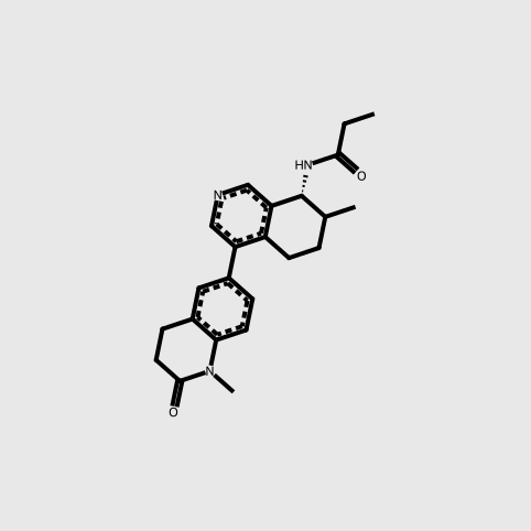 CCC(=O)N[C@H]1c2cncc(-c3ccc4c(c3)CCC(=O)N4C)c2CCC1C